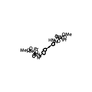 COC(=O)NC(C(=O)N1CCC[C@H]1c1nc2ccc(C#Cc3ccc4cc(-c5cnc([C@@H]6CCCN6C(=O)[C@@H](NC(=O)OC)C(C)C)[nH]5)ccc4c3)cc2[nH]1)C(C)C